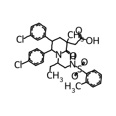 CCC(CNS(=O)(=O)c1ccccc1C)N1C(=O)C(C)(CC(=O)O)CC(c2cccc(Cl)c2)C1c1ccc(Cl)cc1